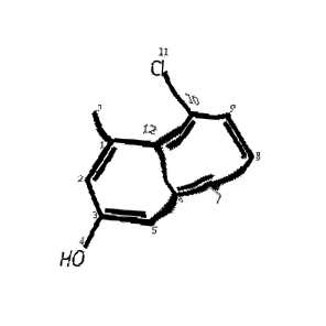 Cc1cc(O)cc2cccc(Cl)c12